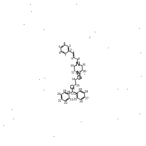 C(=Cc1ccccc1)CN1CCN(OCCOC(c2ccccc2)c2ccccc2)CC1